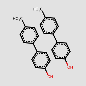 O=C(O)c1ccc(-c2ccc(O)cc2)cc1.O=C(O)c1ccc(-c2ccc(O)cc2)cc1